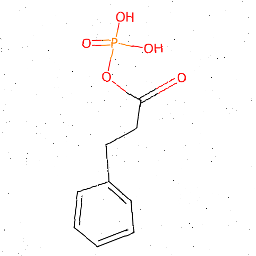 O=C(CCc1ccccc1)OP(=O)(O)O